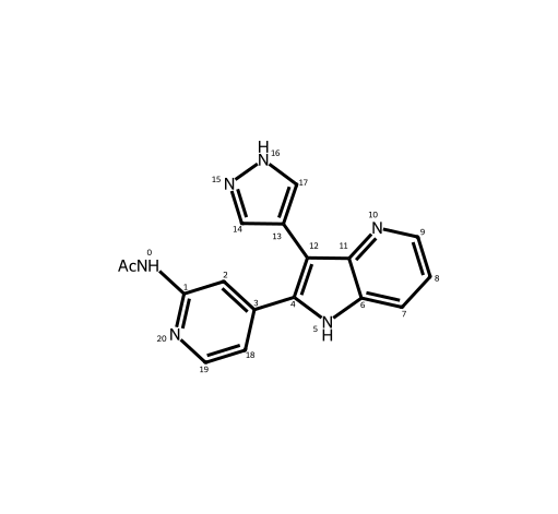 CC(=O)Nc1cc(-c2[nH]c3cccnc3c2-c2cn[nH]c2)ccn1